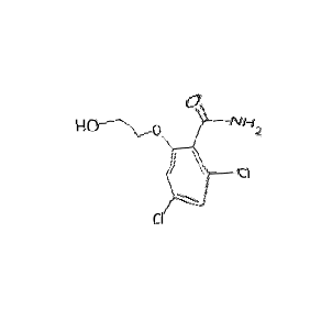 NC(=O)c1c(Cl)cc(Cl)cc1OCCO